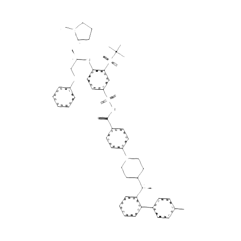 CN1CCC[C@@H]1C[C@H](CSc1ccccc1)Nc1ccc(S(=O)(=O)NC(=O)c2ccc(N3CCC([C@@H](O)c4ccccc4-c4ccc(Cl)cc4)CC3)cc2)cc1S(=O)(=O)C(F)(F)F